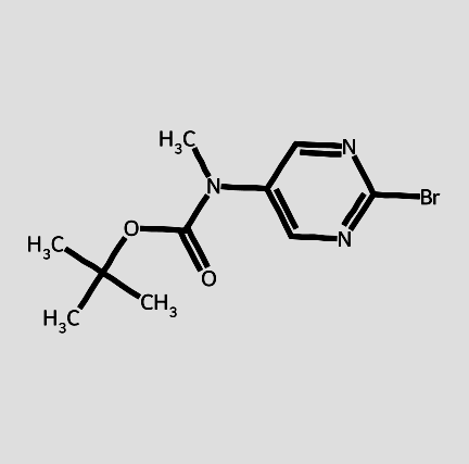 CN(C(=O)OC(C)(C)C)c1cnc(Br)nc1